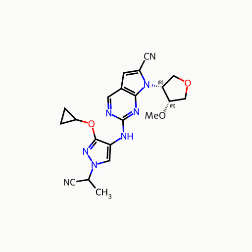 CO[C@H]1COC[C@H]1n1c(C#N)cc2cnc(Nc3cn(C(C)C#N)nc3OC3CC3)nc21